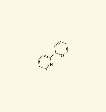 C1=COC(c2cccnn2)C=C1